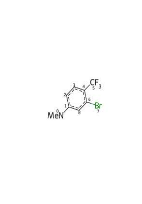 CNc1ccc(C(F)(F)F)c(Br)c1